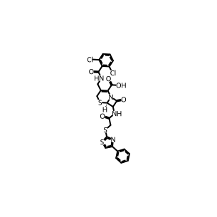 O=C(CSc1nc(-c2ccccc2)cs1)NC1C(=O)N2C(C(=O)O)=C(CNC(=O)c3c(Cl)cccc3Cl)CS[C@H]12